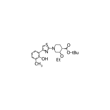 CCO[C@H]1CN(c2nc(-c3cccc(C)c3O)cs2)CC[C@H]1C(=O)OC(C)(C)C